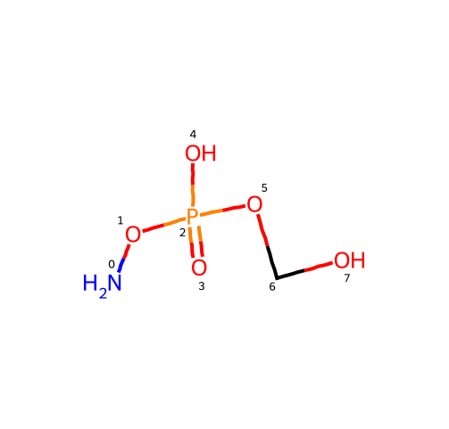 NOP(=O)(O)OCO